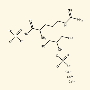 N=C(N)NCCCC(N)C(=O)O.O=P([O-])([O-])[O-].O=P([O-])([O-])[O-].OCC(O)CO.[Ca+2].[Ca+2].[Ca+2]